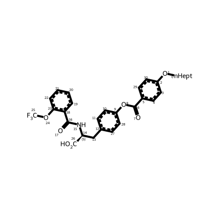 CCCCCCCOc1ccc(C(=O)Oc2ccc(C[C@H](NC(=O)c3ccccc3OC(F)(F)F)C(=O)O)cc2)cc1